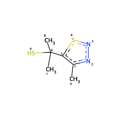 Cc1nnsc1C(C)(C)S